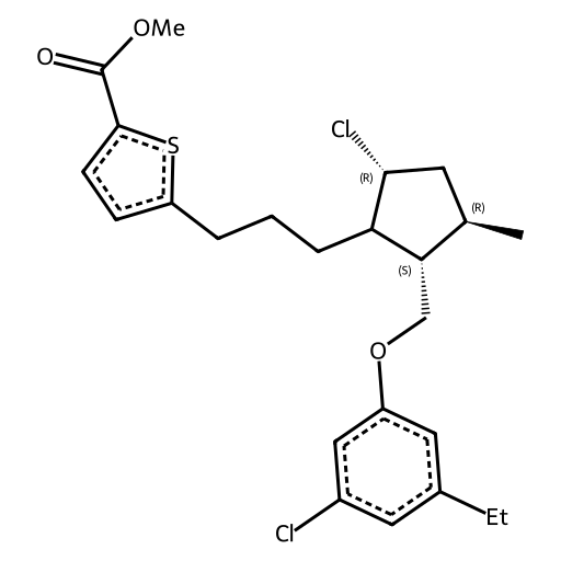 CCc1cc(Cl)cc(OC[C@@H]2C(CCCc3ccc(C(=O)OC)s3)[C@H](Cl)C[C@H]2C)c1